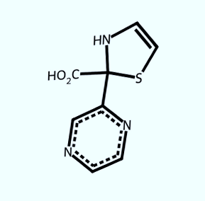 O=C(O)C1(c2cnccn2)NC=CS1